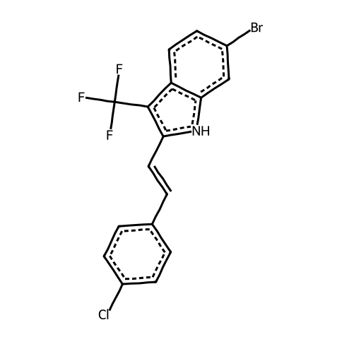 FC(F)(F)c1c(C=Cc2ccc(Cl)cc2)[nH]c2cc(Br)ccc12